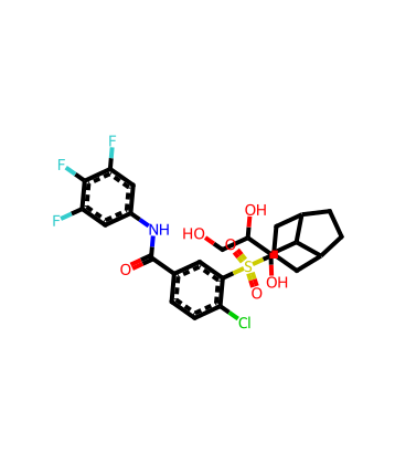 O=C(Nc1cc(F)c(F)c(F)c1)c1ccc(Cl)c(S(=O)(=O)C2CC3CCC(C2)C3C(O)C(O)CO)c1